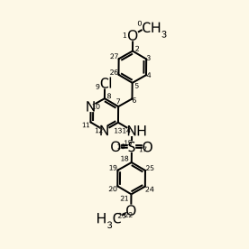 COc1ccc(Cc2c(Cl)ncnc2NS(=O)(=O)c2ccc(OC)cc2)cc1